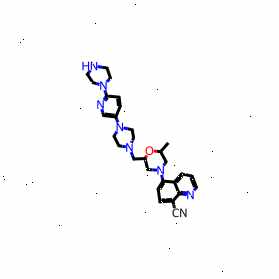 CC1CN(c2ccc(C#N)c3ncccc23)CC(CN2CCN(c3ccc(N4CCNCC4)nc3)CC2)O1